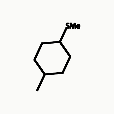 CSC1CCC(C)CC1